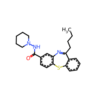 CCCCC1=Nc2cc(C(=O)NN3CCCCC3)ccc2Sc2ccccc21